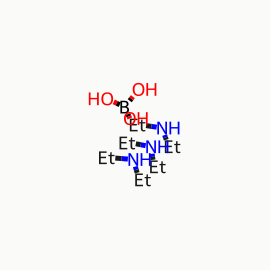 CCNCC.CCNCC.CCNCC.OB(O)O